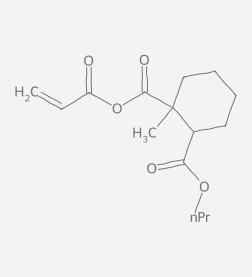 C=CC(=O)OC(=O)C1(C)CCCCC1C(=O)OCCC